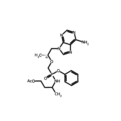 CC(=O)OCCC(C)NP(=O)(CO[C@H](C)Cn1cnc2c(N)ncnc21)Oc1ccccc1